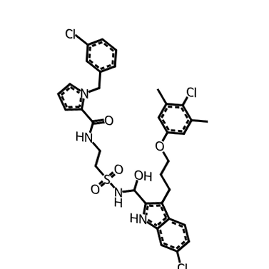 Cc1cc(OCCCc2c(C(O)NS(=O)(=O)CCNC(=O)c3cccn3Cc3cccc(Cl)c3)[nH]c3cc(Cl)ccc23)cc(C)c1Cl